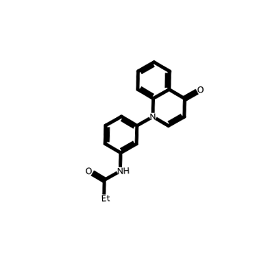 CCC(=O)Nc1cccc(-n2ccc(=O)c3ccccc32)c1